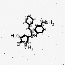 Cc1cc(-c2nc3ccc(CN)cc3n2CC2CCCOC2)cn(C)c1=O